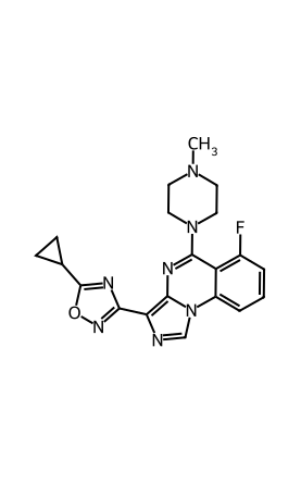 CN1CCN(c2nc3c(-c4noc(C5CC5)n4)ncn3c3cccc(F)c23)CC1